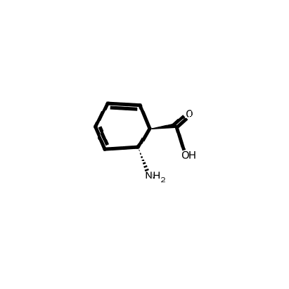 N[C@@H]1C=CC=C[C@H]1C(=O)O